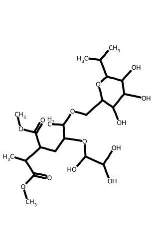 COC(=O)C(C)C(CC(OC(O)C(O)O)C(C)OCC1OC(C(C)C)C(O)C(O)C1O)C(=O)OC